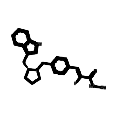 O=C(NO)C(F)=Cc1ccc(CN2CCC[C@@H]2Cc2c[nH]c3ccccc23)cc1